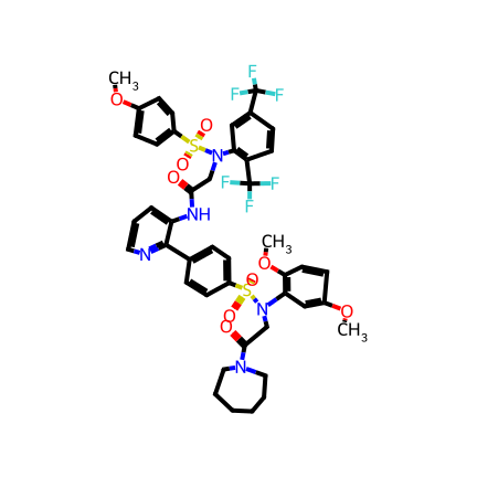 COc1ccc(S(=O)(=O)N(CC(=O)Nc2cccnc2-c2ccc(S(=O)(=O)N(CC(=O)N3CCCCCC3)c3cc(OC)ccc3OC)cc2)c2cc(C(F)(F)F)ccc2C(F)(F)F)cc1